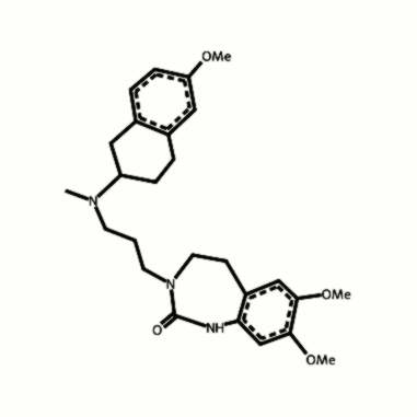 COc1ccc2c(c1)CCC(N(C)CCCN1CCc3cc(OC)c(OC)cc3NC1=O)C2